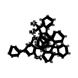 Cc1cc(-c2ccccc2)cc(C)c1N(c1ccc2c(c1)C(C)(C)c1ccccc1-2)c1cccc2c1C1(c3ccccc3-c3ccccc31)c1ccccc1-2